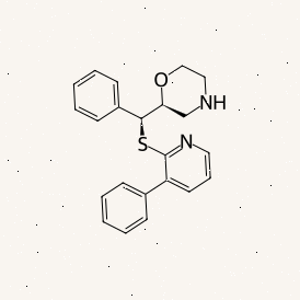 c1ccc(-c2cccnc2S[C@@H](c2ccccc2)[C@@H]2CNCCO2)cc1